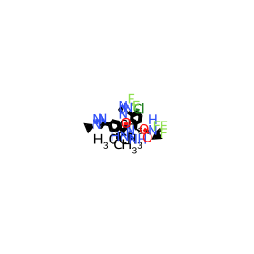 CC(C)(C)C[C@]1(C2(C)C=CC(c3cn(C4CC4)nn3)=CC2)NC(=N)N([C@H](COC(=O)NC2(C(F)(F)F)CC2)c2ccc(Cl)c(-c3ncnn3C(F)F)c2)C1=O